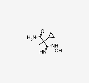 CC(C(=N)NO)(C(N)=O)C1CC1